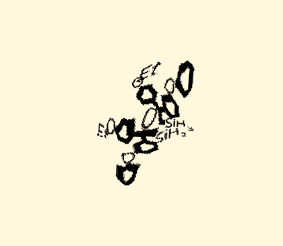 CCOc1ccc(C(C[SiH3])(OC(C[SiH3])(c2ccc(OCC)cc2)c2cccc(Oc3ccccc3)c2)c2cccc(Oc3ccccc3)c2)cc1